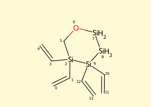 C=C[Si]1(C=C)CO[SiH2][SiH2][Si]1(C=C)C=C